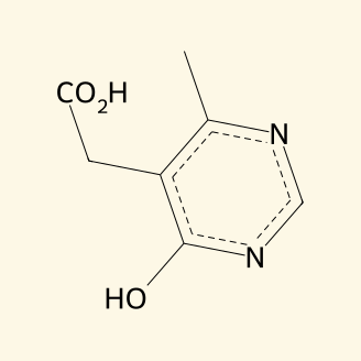 Cc1ncnc(O)c1CC(=O)O